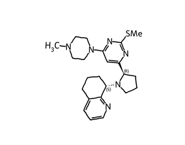 CSc1nc([C@H]2CCCN2[C@H]2CCCc3cccnc32)cc(N2CCN(C)CC2)n1